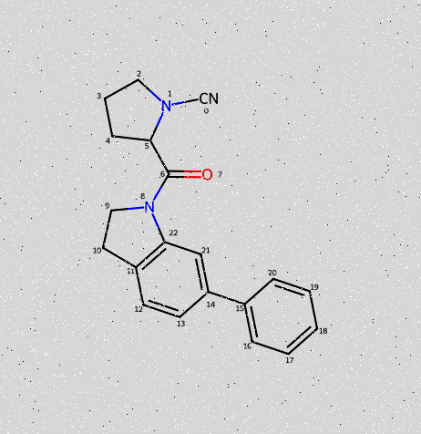 N#CN1CCCC1C(=O)N1CCc2ccc(-c3ccccc3)cc21